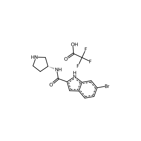 O=C(N[C@@H]1CCNC1)c1cc2ccc(Br)cc2[nH]1.O=C(O)C(F)(F)F